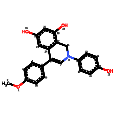 COc1ccc(C2=CN(c3ccc(O)cc3)Cc3c(O)cc(O)cc32)cc1